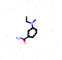 CCN(C)c1cccc(C(N)=O)c1